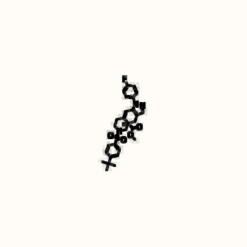 COC(=O)[C@]12Cc3cnn(-c4ccc(F)cc4)c3C=C1CCN(S(=O)(=O)c1ccc(C(C)(C)C)cc1)C2